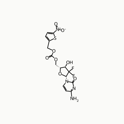 Nc1ccn([C@@H]2O[C@H](COC(=O)OCc3ccc([N+](=O)[O-])s3)[C@@H](O)C2(F)F)c(=O)n1